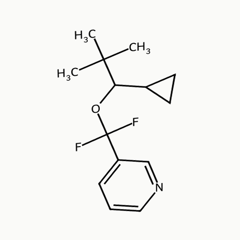 CC(C)(C)C(OC(F)(F)c1cccnc1)C1CC1